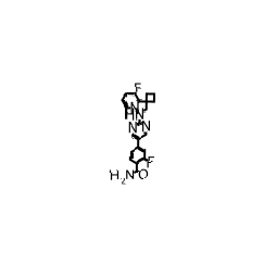 NC(=O)c1ccc(-c2cnc(NCC3(c4ncccc4F)CCC3)nc2)cc1F